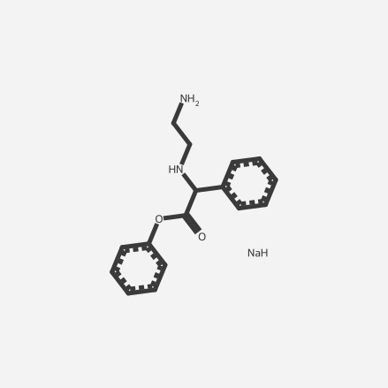 NCCNC(C(=O)Oc1ccccc1)c1ccccc1.[NaH]